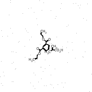 C=C(C)C(=O)O.C=CCOC(=O)c1cccc(C(=O)OCC=C)c1